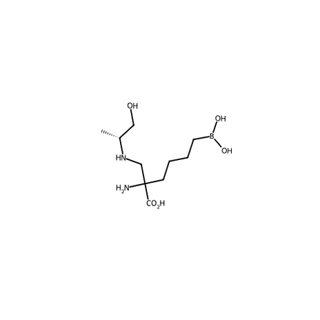 C[C@H](CO)NCC(N)(CCCCB(O)O)C(=O)O